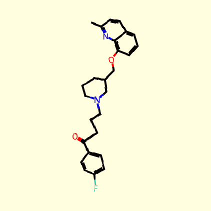 Cc1ccc2cccc(OCC3CCCN(CCCC(=O)c4ccc(F)cc4)C3)c2n1